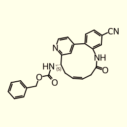 N#Cc1ccc2c(c1)NC(=O)CC=CC[C@H](NC(=O)OCc1ccccc1)c1cc-2ccn1